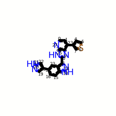 c1cc(-c2ccsc2)c2nc(-c3n[nH]c4ccc(-c5cn[nH]c5)cc34)[nH]c2n1